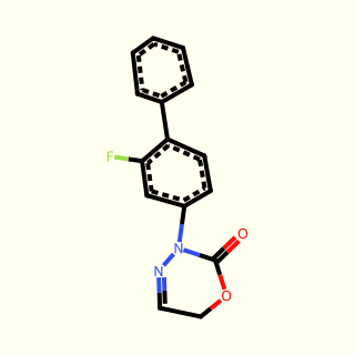 O=C1OCC=NN1c1ccc(-c2ccccc2)c(F)c1